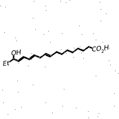 CCC(O)C=CC=CCC=CCCCCCCCC(=O)O